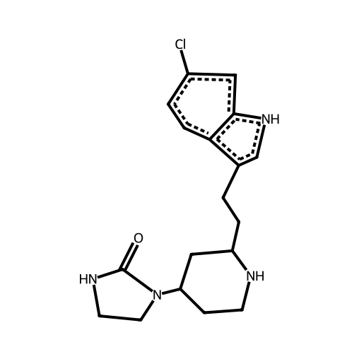 O=C1NCCN1C1CCNC(CCc2c[nH]c3cc(Cl)ccc23)C1